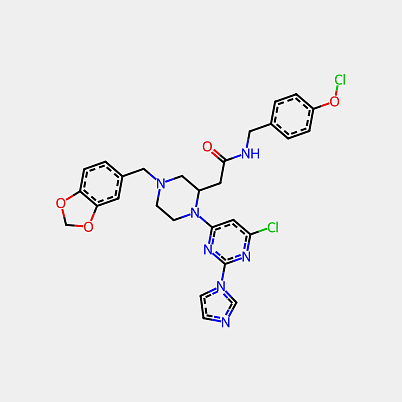 O=C(CC1CN(Cc2ccc3c(c2)OCO3)CCN1c1cc(Cl)nc(-n2ccnc2)n1)NCc1ccc(OCl)cc1